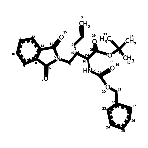 C=CC[C@@H](CN1C(=O)c2ccccc2C1=O)[C@H](NC(=O)OCc1ccccc1)C(=O)OC(C)(C)C